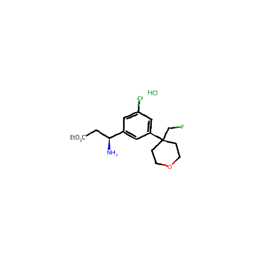 CCOC(=O)C[C@H](N)c1cc(Cl)cc(C2(CF)CCOCC2)c1.Cl